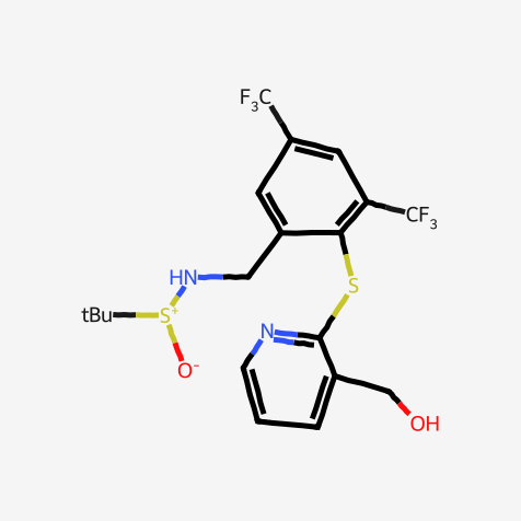 CC(C)(C)[S+]([O-])NCc1cc(C(F)(F)F)cc(C(F)(F)F)c1Sc1ncccc1CO